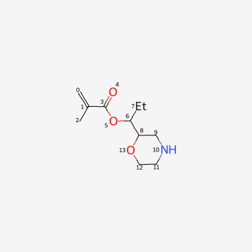 C=C(C)C(=O)OC(CC)C1CNCCO1